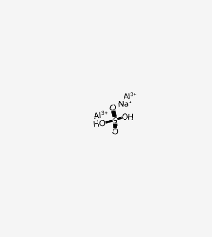 O=S(=O)(O)O.[Al+3].[Al+3].[Na+]